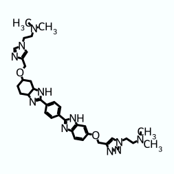 CN(C)CCn1cnc(COC2CCC3N=C(c4ccc(-c5nc6ccc(OCc7cn(CCN(C)C)nn7)cc6[nH]5)cc4)NC3C2)c1